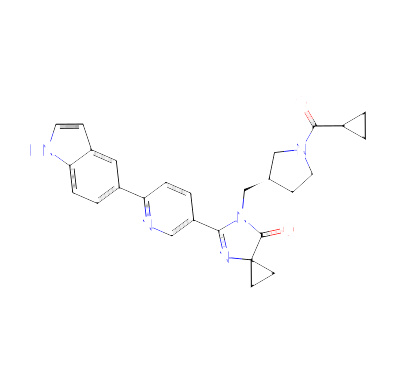 O=C(C1CC1)N1CC[C@@H](CN2C(=O)C3(CC3)N=C2c2ccc(-c3ccc4[nH]ccc4c3)nc2)C1